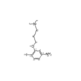 CN(C)CCCOc1cc(N)ccc1I